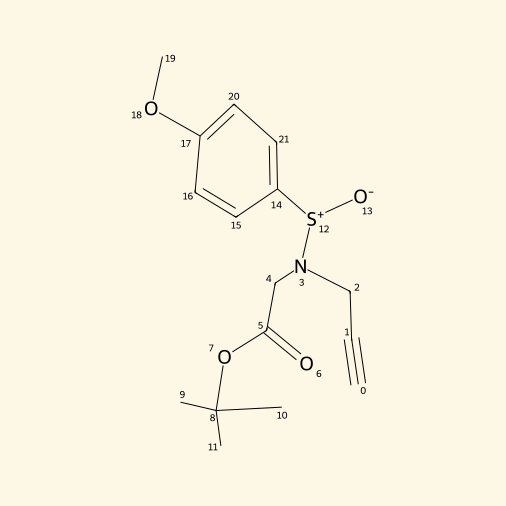 C#CCN(CC(=O)OC(C)(C)C)[S+]([O-])c1ccc(OC)cc1